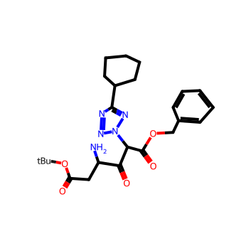 CC(C)(C)OC(=O)CC(N)C(=O)C(C(=O)OCc1ccccc1)n1nnc(C2CCCCC2)n1